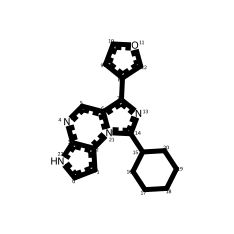 c1cc2c(ncc3c(-c4ccoc4)nc(C4CCCCC4)n32)[nH]1